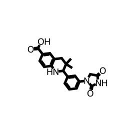 CC1(C)Cc2cc(C(=O)O)ccc2NC1c1cccc(N2CC(=O)NC2=O)c1